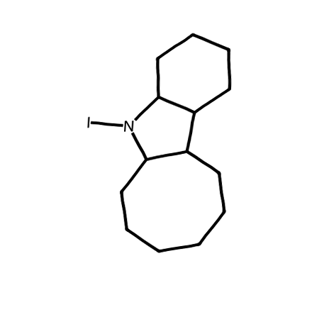 IN1C2CCCCCCC2C2CCCCC21